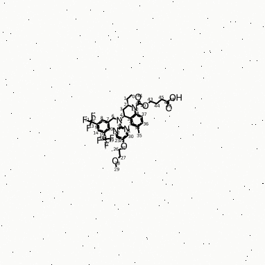 CC[C@@H]1C[C@H](N(Cc2cc(C(F)(F)F)cc(C(F)(F)F)c2)c2ncc(OCCOC)cn2)c2cc(C)ccc2N1C(=O)OCCCC(=O)O